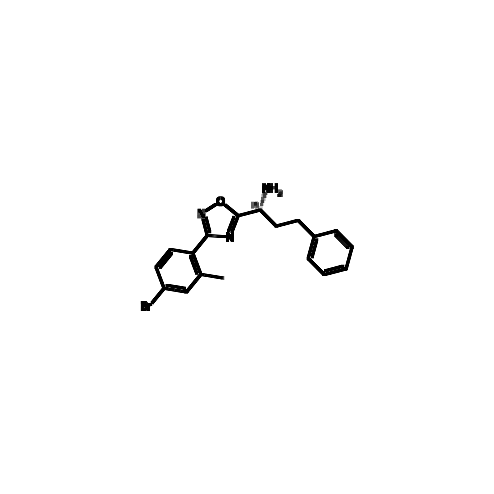 Cc1cc(Br)ccc1-c1noc([C@H](N)CCc2ccccc2)n1